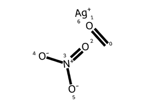 C=O.O=[N+]([O-])[O-].[Ag+]